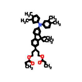 C=CC(=O)OCCC(CCOC(=O)C=C)c1ccc2c(c1)C(CC)(CC)c1cc(N(c3ccc(C)c(C)c3)c3ccc(C)c(C)c3)ccc1-2